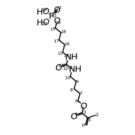 C=C(C)C(=O)OCCCCCNC(=O)NCCCCCOP(=O)(O)O